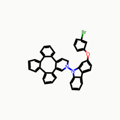 Brc1cccc(Oc2ccc3c4ccccc4n(N4C=C5C(=CC4)c4ccccc4-c4ccccc4-c4ccccc45)c3c2)c1